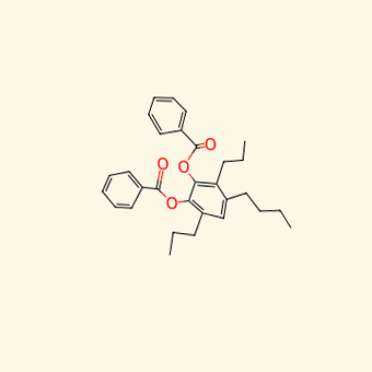 CCCCc1cc(CCC)c(OC(=O)c2ccccc2)c(OC(=O)c2ccccc2)c1CCC